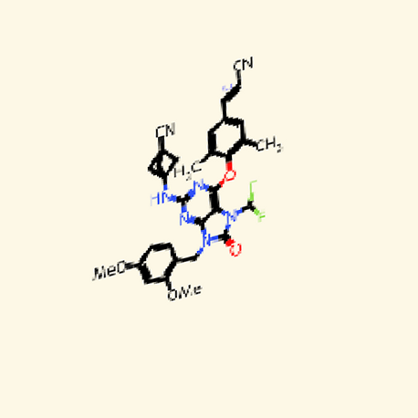 COc1ccc(Cn2c(=O)n(C(F)F)c3c(Oc4c(C)cc(/C=C/C#N)cc4C)nc(NC45CC(C#N)(C4)C5)nc32)c(OC)c1